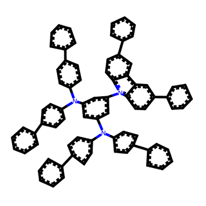 c1ccc(-c2ccc(N(c3ccc(-c4ccccc4)cc3)c3cc(N(c4ccc(-c5ccccc5)cc4)c4ccc(-c5ccccc5)cc4)cc(-n4c5ccc(-c6ccccc6)cc5c5cc(-c6ccccc6)ccc54)c3)cc2)cc1